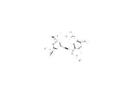 COC(=O)CC(C#Cc1cc([N+](=O)[O-])cc([N+](=O)[O-])c1)c1ccc(OC)c(OC2CCCC2)c1